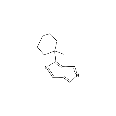 [CH2]C1(C2=C3C=NC=C3C=N2)CCCCC1